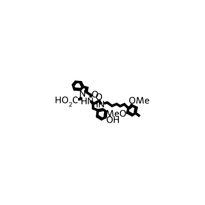 COc1cc(C)cc(OC)c1CCCCCNC(=O)C(Cc1ccc(O)cc1)NC(=O)c1cc2ccccc2n1CC(=O)O